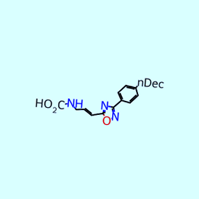 CCCCCCCCCCc1ccc(-c2noc(C=CCNC(=O)O)n2)cc1